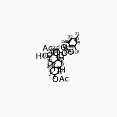 CC(=O)O[C@H]1CC[C@@]2(C)[C@H](CC[C@H]3[C@@H]4[C@@H](OS(=O)(=O)c5c(C)cc(C)cc5C)C[C@H](C(C)=O)[C@@]4(C)[C@H](O)C[C@@H]32)C1